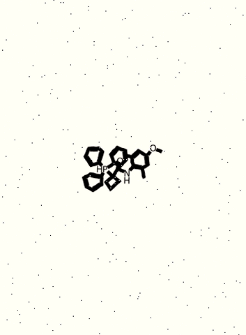 COc1cc(C)c(NC(=O)C2([PH](c3ccccc3)(c3ccccc3)c3ccccc3)CCC2)c(C)c1